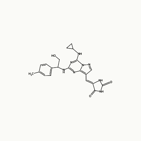 Cc1ccc(C(CO)Nc2nc(NC3CC3)n3ncc(/C=C4\NC(=O)NC4=O)c3n2)cc1